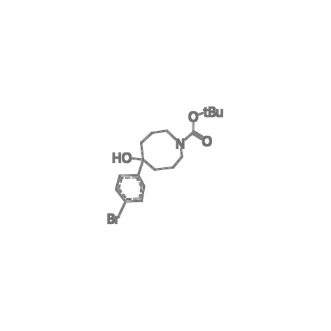 CC(C)(C)OC(=O)N1CCCC(O)(c2ccc(Br)cc2)CCC1